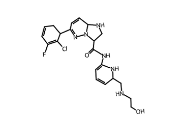 O=C(NC1=CC=CC(CNCCO)N1)C1CNC2C=CC(C3CC=CC(F)=C3Cl)=NN21